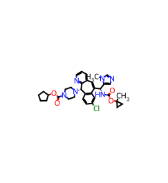 Cn1cncc1[C@H](NC(=O)OC1(C)CC1)C1=Cc2cccnc2[C@@H](N2CCN(C(=O)OC3CCCC3)CC2)c2ccc(Cl)cc21